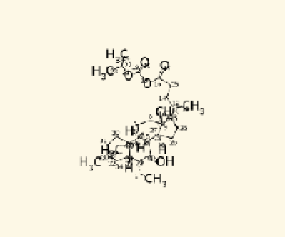 CC[C@H]1[C@@H](O)[C@@H]2[C@H](CC[C@]3(C)[C@@H]([C@H](C)CCC(=O)OC(=O)OC(C)C)CC[C@@H]23)[C@@]2(C)CC[C@@H](C)C[C@@H]12